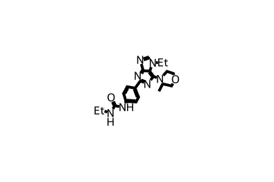 CCNC(=O)Nc1ccc(-c2nc(N3CCOCC3C)c3c(ncn3CC)n2)cc1